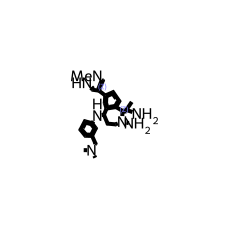 CN/C=C(\C=N)c1ccc2c(c1)C(Nc1cccc(CN(C)C)c1)CCN(N)/C2=C(/C)N